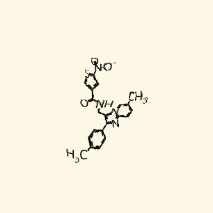 Cc1ccc(-c2nc3ccc(C)cn3c2CNC(=O)c2csc([N+](=O)[O-])c2)cc1